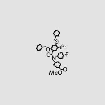 COC(=O)c1ccc(CN(C(=O)c2cc(C(C)C)c(OCc3ccccc3)cc2OCc2ccccc2)c2ccc(F)cc2)cc1